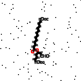 CCCCCCCCCCCCCCCCCCCCCCC(=O)OC(C[C]=O)CCCCCCCCCCCCC